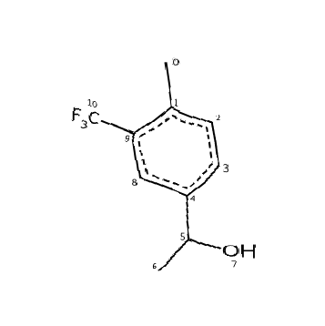 Cc1ccc(C(C)O)cc1C(F)(F)F